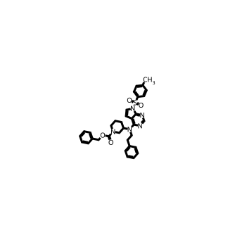 Cc1ccc(S(=O)(=O)n2ccc3c(N(CCc4ccccc4)C4CCCN(C(=O)OCc5ccccc5)C4)ncnc32)cc1